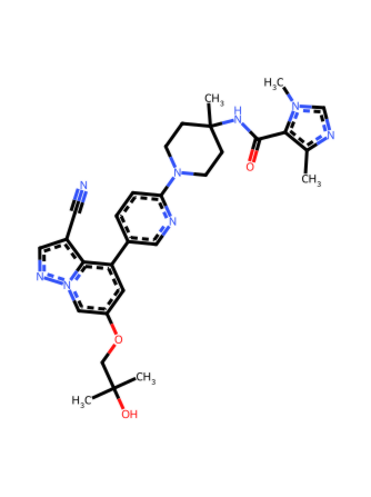 Cc1ncn(C)c1C(=O)NC1(C)CCN(c2ccc(-c3cc(OCC(C)(C)O)cn4ncc(C#N)c34)cn2)CC1